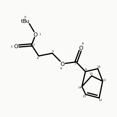 CC(C)(C)OC(=O)CCOC(=O)C1CC2C=CC1C2